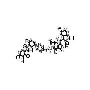 Cc1[nH]c2c(c1C(=O)NCCCN1CCN(c3ccc(F)c(C(=O)NC4CCC(=O)NC4=O)c3)CC1)C(C1CC1)CC2=C1C(=O)Nc2ccc(F)cc21